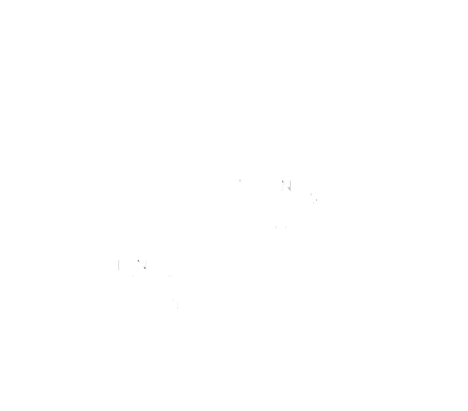 NC(=O)c1ccc(S(=O)(=O)N(Sc2ccccc2)c2ccccc2)cc1